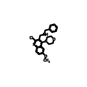 COc1ccc2nc(Cl)c(CNCc3ccccc3)c(N3CCOCC3)c2c1